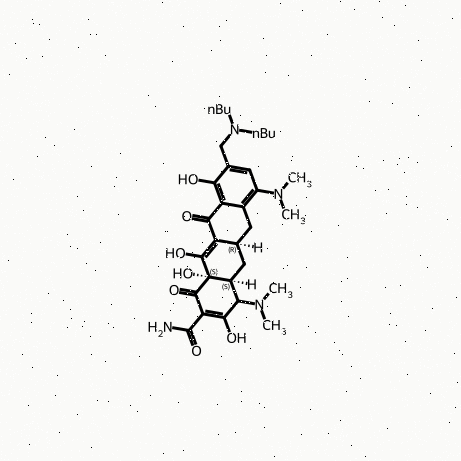 CCCCN(CCCC)Cc1cc(N(C)C)c2c(c1O)C(=O)C1=C(O)[C@]3(O)C(=O)C(C(N)=O)=C(O)C(N(C)C)[C@@H]3C[C@@H]1C2